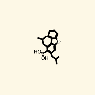 CC(C)Cc1cc2oc3ccccc3c2c(CC(C)C)c1B(O)O